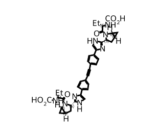 CC[C@H](NC(=O)O)C(=O)N1[C@@H]2C[C@@H]2C[C@H]1c1nc(-c2ccc(C#Cc3ccc(-c4c[nH]c([C@@H]5C[C@H]6C[C@H]6N5C(=O)[C@H](CC)NC(=O)O)n4)cc3)cc2)c[nH]1